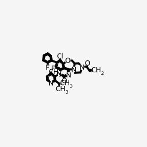 C=CC(=O)N1CCN2c3nc(=O)n(-c4c(C)ccnc4C(C)C)c4c(F)c(-c5ccccc5F)c(Cl)c(c34)OCC2C1